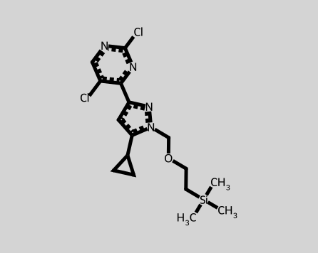 C[Si](C)(C)CCOCn1nc(-c2nc(Cl)ncc2Cl)cc1C1CC1